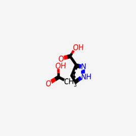 CC(=O)O.O=C(O)c1cc[nH]n1